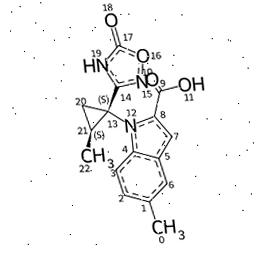 Cc1ccc2c(c1)cc(C(=O)O)n2[C@@]1(c2noc(=O)[nH]2)C[C@@H]1C